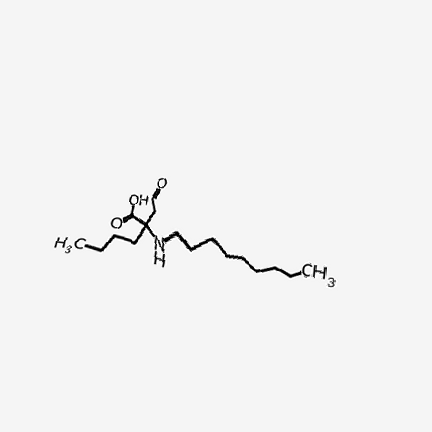 CCCCCCCCCNC(CC=O)(CCCC)C(=O)O